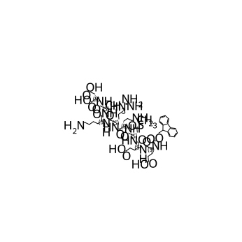 CSCC[C@H](NC(=O)[C@H](CCC(=O)O)NC(=O)[C@H](CCC(=O)O)NC(=O)OCC1c2ccccc2-c2ccccc21)C(=O)N[C@@H](CCC(N)=O)C(=O)N[C@@H](CCCNC(=N)N)C(=O)N[C@@H](CCCCN)C(=O)N[C@@H](C)C(=O)N[C@@H](CC(=O)O)C(=O)O